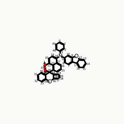 c1ccc(N(c2ccc3c(c2)oc2ccccc23)c2ccc3c4c(cccc24)C2(c4ccccc4Oc4ccccc42)c2ccccc2-3)cc1